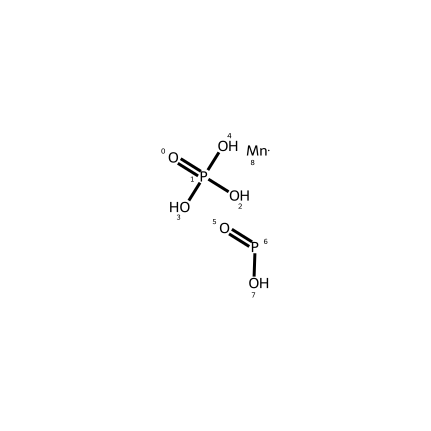 O=P(O)(O)O.O=PO.[Mn]